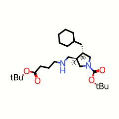 CC(C)(C)OC(=O)CCCNC[C@@H]1CN(C(=O)OC(C)(C)C)C[C@H]1CC1CCCCC1